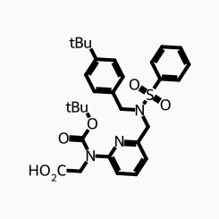 CC(C)(C)OC(=O)N(CC(=O)O)c1cccc(CN(Cc2ccc(C(C)(C)C)cc2)S(=O)(=O)c2ccccc2)n1